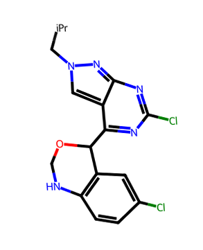 CC(C)Cn1cc2c(C3OCNc4ccc(Cl)cc43)nc(Cl)nc2n1